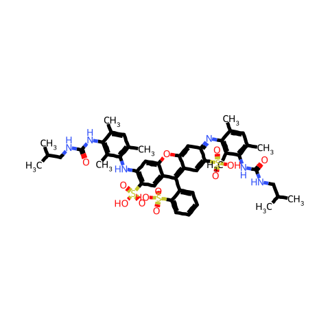 Cc1cc(C)c(NC(=O)NCC(C)C)c(C)c1/N=c1/cc2oc3cc(Nc4c(C)cc(C)c(NC(=O)NCC(C)C)c4C)c(S(=O)(=O)O)cc3c(-c3ccccc3S(=O)(=O)O)c-2cc1S(=O)(=O)O